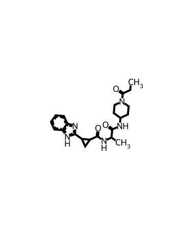 CCC(=O)N1CCC(NC(=O)C(C)NC(=O)C2CC2c2nc3ccccc3[nH]2)CC1